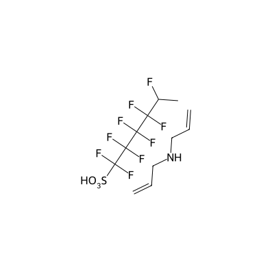 C=CCNCC=C.CC(F)C(F)(F)C(F)(F)C(F)(F)C(F)(F)S(=O)(=O)O